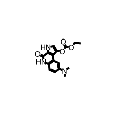 CCOC(=O)Oc1c[nH]c2c(=O)[nH]c3ccc(N(C)C)cc3c12